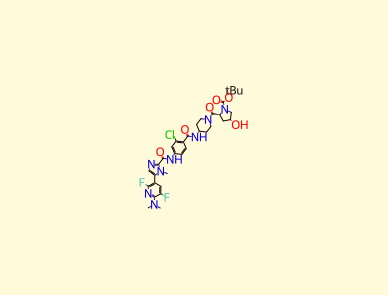 CN(C)c1nc(F)c(-c2cnc(C(=O)Nc3ccc(C(=O)NC4CCN(C(=O)[C@@H]5C[C@@H](O)CN5C(=O)OC(C)(C)C)CC4)c(Cl)c3)n2C)cc1F